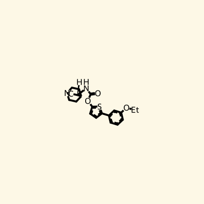 CCOc1cccc(-c2ccc(OC(=O)N[C@H]3CN4CCC3CC4)s2)c1